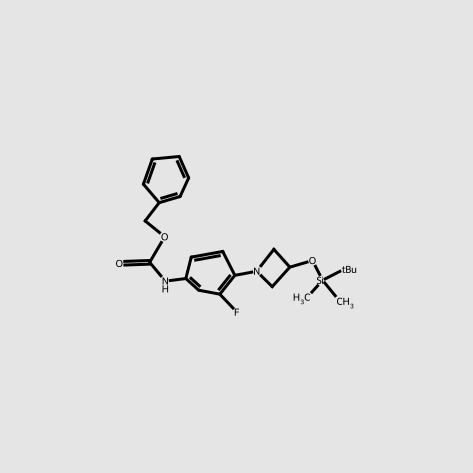 CC(C)(C)[Si](C)(C)OC1CN(c2ccc(NC(=O)OCc3ccccc3)cc2F)C1